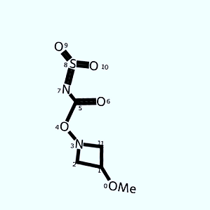 COC1CN(OC(=O)N=S(=O)=O)C1